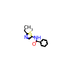 CCc1ncc(NC(=O)c2ccccc2)s1